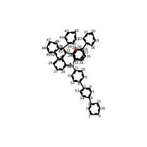 c1ccc(-c2ccc(-c3ccc(N(c4ccc(-c5ccccc5)cc4)c4cccc5c4c(-c4ccccc4)c(-c4ccccc4)c4ccccc45)cc3)cc2)cc1